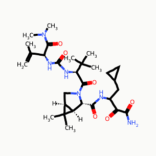 C=C(C)[C@H](NC(=O)N[C@H](C(=O)N1C[C@H]2[C@@H]([C@H]1C(=O)NC(CC1CC1)C(=O)C(N)=O)C2(C)C)C(C)(C)C)C(=O)N(C)C